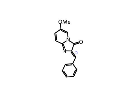 COC1=CN2C(=O)/C(=C/c3ccccc3)N=C2C=C1